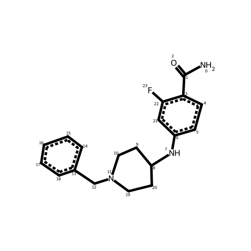 NC(=O)c1ccc(NC2CCN(Cc3ccccc3)CC2)cc1F